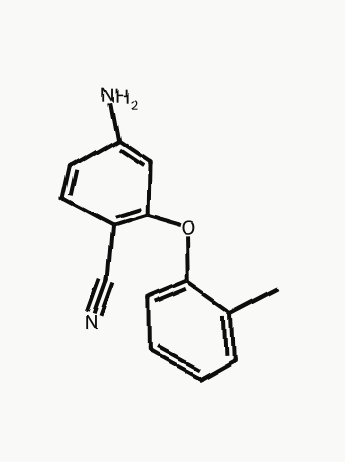 Cc1ccccc1Oc1cc(N)ccc1C#N